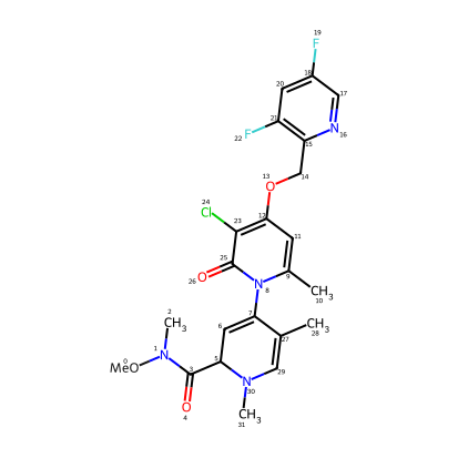 CON(C)C(=O)C1C=C(n2c(C)cc(OCc3ncc(F)cc3F)c(Cl)c2=O)C(C)=CN1C